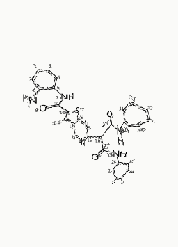 Nc1ccccc1NC(=O)c1cc2cnc(C(C(=O)Nc3ccccc3)C(=O)Nc3ccccc3)nc2s1